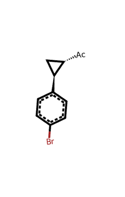 CC(=O)[C@H]1C[C@@H]1c1ccc(Br)cc1